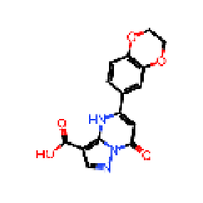 O=C(O)c1cnn2c(=O)cc(-c3ccc4c(c3)OCCO4)[nH]c12